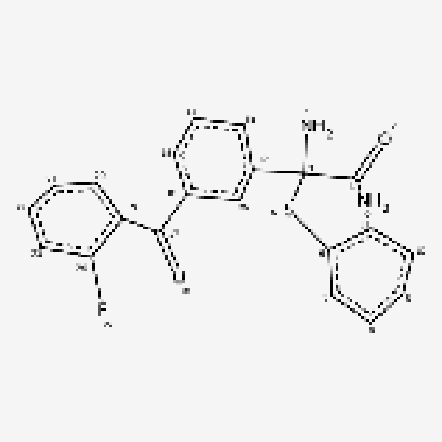 NC(=O)C(N)(Sc1ccccc1)c1cccc(C(=O)c2ccccc2F)c1